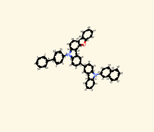 c1ccc(-c2ccc(-n3c4ccc(-c5ccc6c(c5)c5ccccc5n6-c5ccc6ccccc6c5)cc4c4c5oc6ccccc6c5ccc43)cc2)cc1